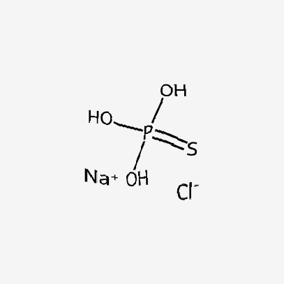 OP(O)(O)=S.[Cl-].[Na+]